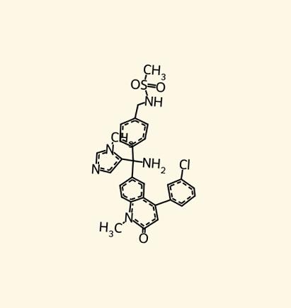 Cn1cncc1C(N)(c1ccc(CNS(C)(=O)=O)cc1)c1ccc2c(c1)c(-c1cccc(Cl)c1)cc(=O)n2C